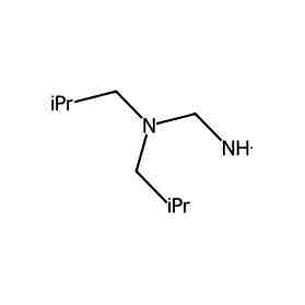 CC(C)CN(C[NH])CC(C)C